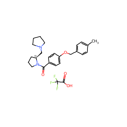 Cc1ccc(COc2ccc(C(=O)N3CCC[C@H]3CN3CCCC3)cc2)cc1.O=C(O)C(F)(F)F